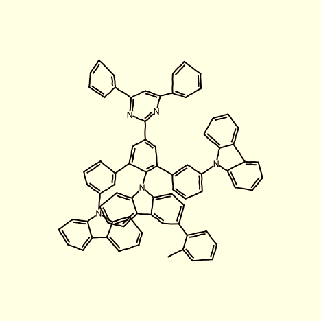 Cc1ccccc1-c1ccc2c(c1)c1ccccc1n2-c1c(-c2cccc(-n3c4ccccc4c4ccccc43)c2)cc(-c2nc(-c3ccccc3)cc(-c3ccccc3)n2)cc1-c1cccc(-n2c3ccccc3c3ccccc32)c1